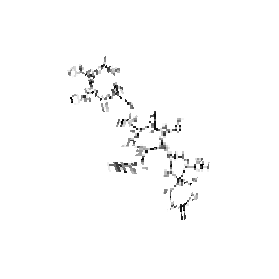 N=Cc1nc(NCc2ccc(Cl)c(Cl)c2)[nH]c(=O)c1NCC1(CO)CCNCC1